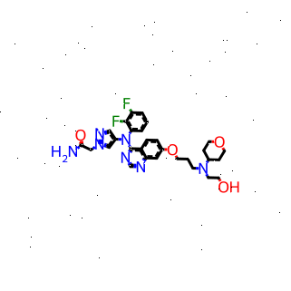 NC(=O)Cn1cc(N(c2cccc(F)c2F)c2ncnc3cc(OCCCN(CCO)C4CCOCC4)ccc23)cn1